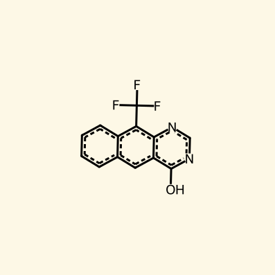 Oc1ncnc2c(C(F)(F)F)c3ccccc3cc12